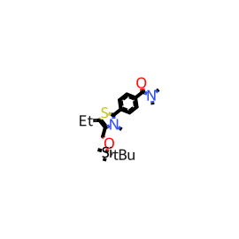 CCC1=C(CO[Si](C)(C)C(C)(C)C)N(C)C(c2ccc(C(=O)N(C)C)cc2)S1